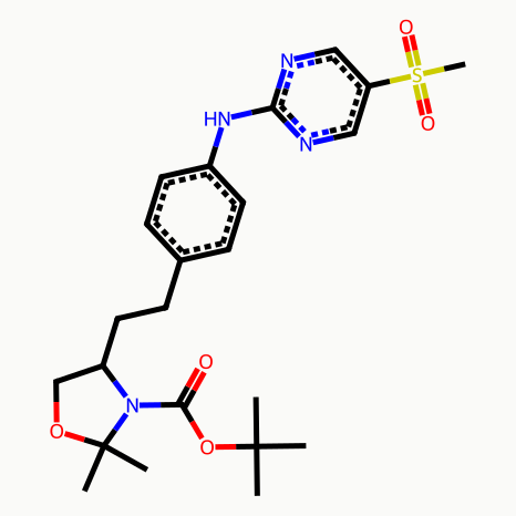 CC(C)(C)OC(=O)N1C(CCc2ccc(Nc3ncc(S(C)(=O)=O)cn3)cc2)COC1(C)C